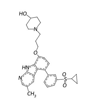 Cc1cnc2[nH]c3c(OCCCN4CCC(O)CC4)ccc(-c4cccc(S(=O)(=O)C5CC5)c4)c3c2c1